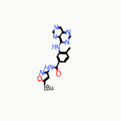 Cc1ccc(C(=O)Nc2cc(C(C)(C)C)on2)cc1Nc1ncnc2cncnc12